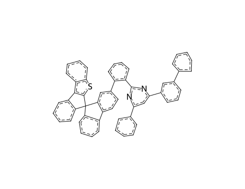 c1ccc(-c2cccc(-c3cc(-c4ccccc4)nc(-c4ccccc4-c4ccc5c(c4)C4(c6ccccc6-5)c5ccccc5-c5c4sc4ccccc54)n3)c2)cc1